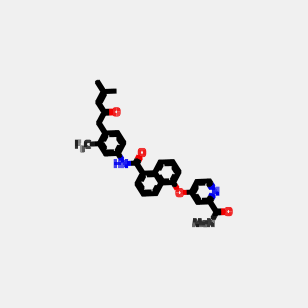 CNC(=O)c1cc(Oc2cccc3c(C(=O)Nc4ccc(CC(=O)C=C(C)C)c(C(F)(F)F)c4)cccc23)ccn1